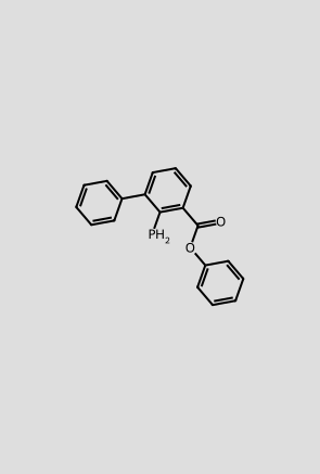 O=C(Oc1ccccc1)c1cccc(-c2ccccc2)c1P